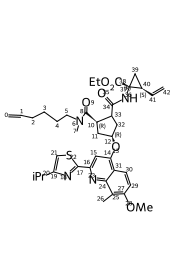 C=CCCCCN(C)C(=O)[C@@H]1C[C@H](Oc2cc(-c3nc(C(C)C)cs3)nc3c(C)c(OC)ccc23)CC1C(=O)N[C@]1(C(=O)OCC)C[C@H]1C=C